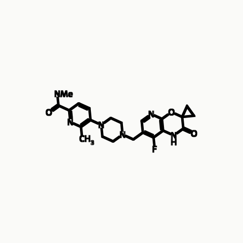 CNC(=O)c1ccc(N2CCN(Cc3cnc4c(c3F)NC(=O)C3(CC3)O4)CC2)c(C)n1